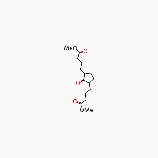 COC(=O)CCCC1CCC(CCCC(=O)OC)C1=O